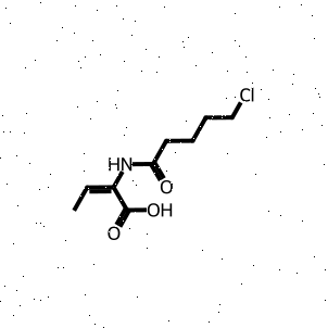 C/C=C(/NC(=O)CCCCCl)C(=O)O